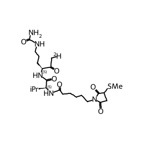 [2H]CC(=O)[C@H](CCCNC(N)=O)NC(=O)[C@@H](NC(=O)CCCCCN1C(=O)CC(SC)C1=O)C(C)C